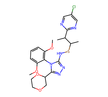 COc1cccc(OC)c1-n1c(NSC(C)C(C)c2ncc(Cl)cn2)nnc1C1COCCO1